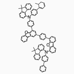 CC1CC=CC=C1c1ccc(N(c2ccc(-c3cc(-c4ccc(-c5cccc6c5oc5c(N(c7ccc(-c8ccccc8)cc7)c7cccc8c7-c7ccccc7C8(C)C)cccc56)cc4)cc4c3oc3ccccc34)cc2)c2cccc3c2-c2ccccc2C3(C)C)cc1